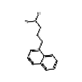 ClC(Cl)CCCc1cccc2ccccc12